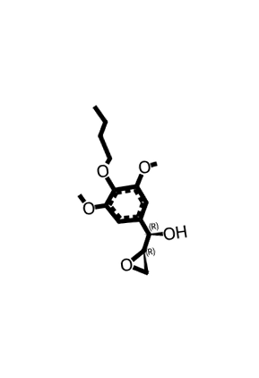 CCCCOc1c(OC)cc([C@@H](O)[C@H]2CO2)cc1OC